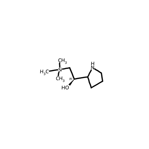 C[Si](C)(C)C[C@H](O)C1CCCN1